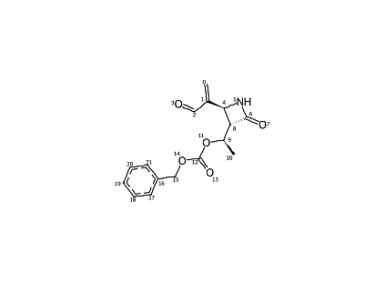 C=C(C=O)[C@H]1NC(=O)[C@@H]1[C@@H](C)OC(=O)OCc1ccccc1